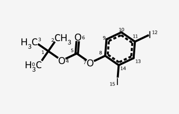 CC(C)(C)OC(=O)Oc1ccc(I)cc1I